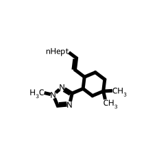 CCCCCCCC=CC1CCC(C)(C)CC1c1ncn(C)n1